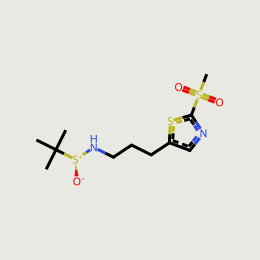 CC(C)(C)[S@+]([O-])NCCCc1cnc(S(C)(=O)=O)s1